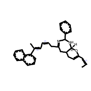 C/C=C\C1=CCC2CC(C/C=C\C=C(/C)c3cccc4ccccc34)=NC(c3ccccc3)N[C@@H]2O1